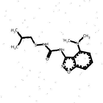 CC(C)CSNC(=O)Nc1noc2cccc(N(C)C)c12